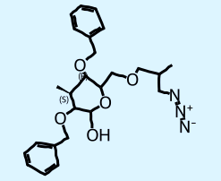 CC(CN=[N+]=[N-])COCC1OC(O)C(OCc2ccccc2)[C@@H](C)[C@H]1OCc1ccccc1